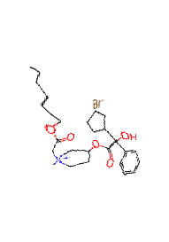 CCCCCCOC(=O)C[N+]1(C)CCC(OC(=O)C(O)(c2ccccc2)C2CCCC2)C1.[Br-]